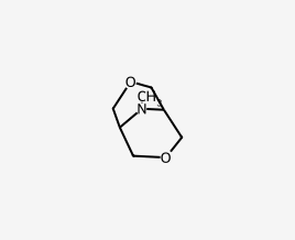 CN1C2COCC1COC2